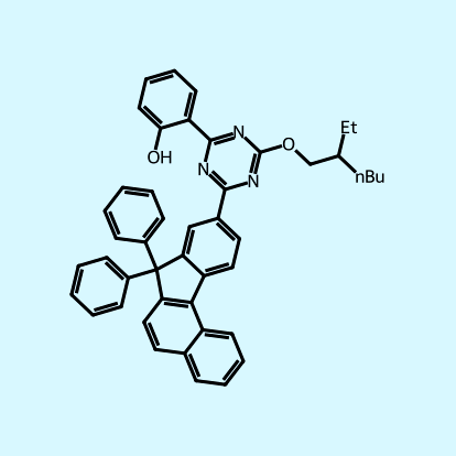 CCCCC(CC)COc1nc(-c2ccc3c(c2)C(c2ccccc2)(c2ccccc2)c2ccc4ccccc4c2-3)nc(-c2ccccc2O)n1